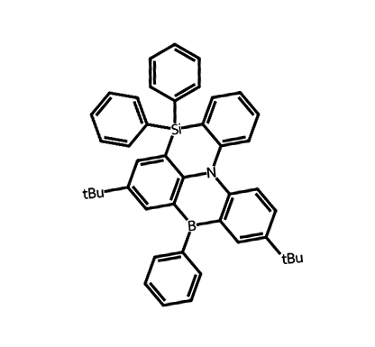 CC(C)(C)c1ccc2c(c1)B(c1ccccc1)c1cc(C(C)(C)C)cc3c1N2c1ccccc1[Si]3(c1ccccc1)c1ccccc1